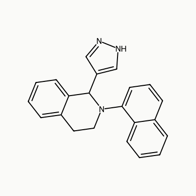 c1ccc2c(c1)CCN(c1cccc3ccccc13)C2c1cn[nH]c1